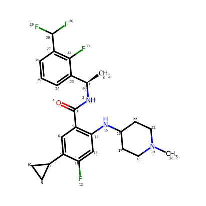 C[C@@H](NC(=O)c1cc(C2CC2)c(F)cc1NC1CCN(C)CC1)c1cccc(C(F)F)c1F